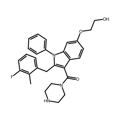 Cc1c(F)cccc1Cc1c(C(=O)N2CCNCC2)c2ccc(OCCO)cc2n1-c1ccccc1